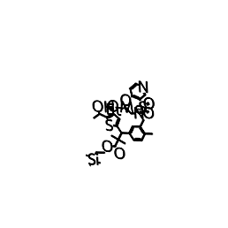 CC[C@@H]1CN(Cc2cc(C(c3cc(OC)c(C(C)O)s3)C(C)(C)C(=O)OCC[Si](C)(C)C)ccc2C)S(=O)(=O)c2cnccc2O1